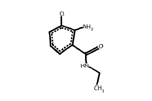 CCNC(=O)c1cccc(Cl)c1N